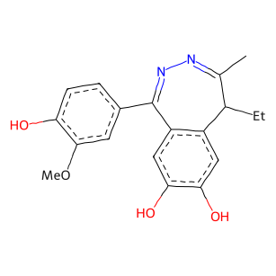 CCC1C(C)=NN=C(c2ccc(O)c(OC)c2)c2cc(O)c(O)cc21